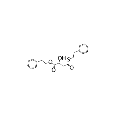 O=C(CC(O)C(=O)OCCc1ccccc1)SCCc1ccccc1